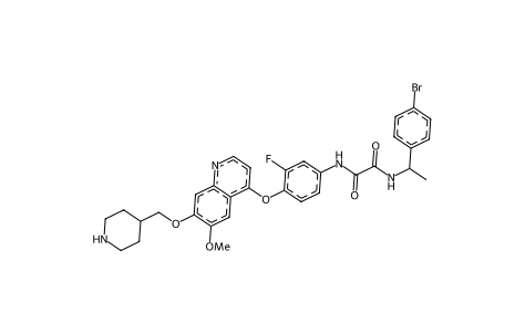 COc1cc2c(Oc3ccc(NC(=O)C(=O)NC(C)c4ccc(Br)cc4)cc3F)ccnc2cc1OCC1CCNCC1